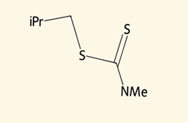 [CH2]NC(=S)SCC(C)C